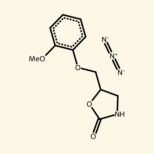 COc1ccccc1OCC1CNC(=O)O1.[N-]=[N+]=[N-]